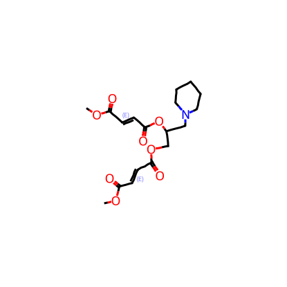 COC(=O)/C=C/C(=O)OCC(CN1CCCCC1)OC(=O)/C=C/C(=O)OC